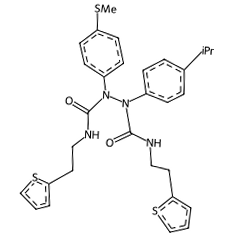 CSc1ccc(N(C(=O)NCCc2cccs2)N(C(=O)NCCc2cccs2)c2ccc(C(C)C)cc2)cc1